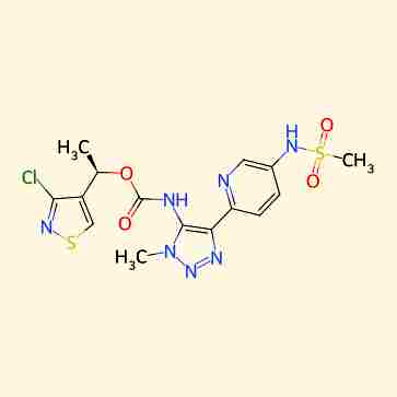 C[C@@H](OC(=O)Nc1c(-c2ccc(NS(C)(=O)=O)cn2)nnn1C)c1csnc1Cl